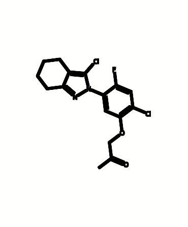 CC(=O)COc1cc(-n2nc3c(c2Cl)CCCC3)c(F)cc1Cl